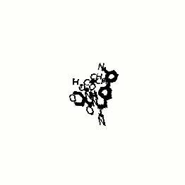 CC(C)(C)OC(=O)NC1(C(=O)N[C@H](C#N)Cc2ccc(-c3cccc(C#N)c3)cc2)CCOCC1